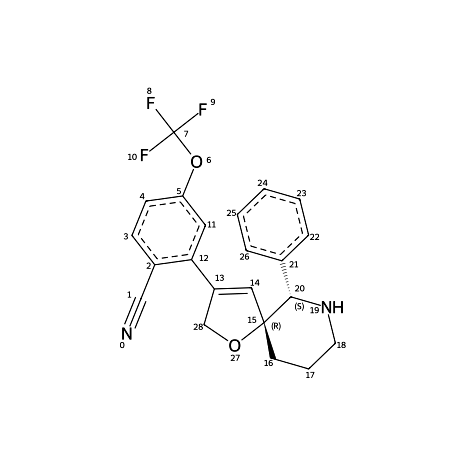 N#Cc1ccc(OC(F)(F)F)cc1C1=C[C@@]2(CCCN[C@H]2c2ccccc2)OC1